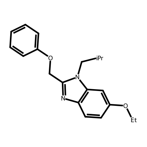 CCOc1ccc2nc(COc3ccccc3)n(CC(C)C)c2c1